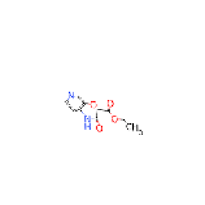 CCOC(=O)C1Oc2cnccc2NC1=O